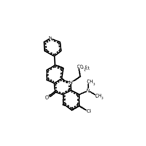 CCOC(=O)Cn1c2cc(-c3ccncc3)ccc2c(=O)c2ccc(Cl)c(N(C)C)c21